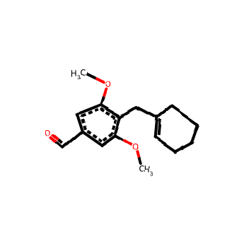 COc1cc(C=O)cc(OC)c1CC1=CCCCC1